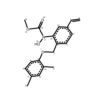 C=Cc1ccc(COc2ccc(C)cc2C)c(N(O)C(=O)OC)c1